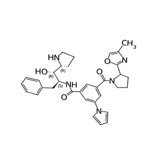 Cc1coc(C2CCCN2C(=O)c2cc(C(=O)N[C@@H](Cc3ccccc3)[C@H](O)[C@H]3CCCN3)cc(-n3cccc3)c2)n1